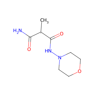 C[C](C(N)=O)C(=O)NN1CCOCC1